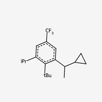 CC(C)c1cc(C(F)(F)F)cc(C(C)C2CC2)c1C(C)(C)C